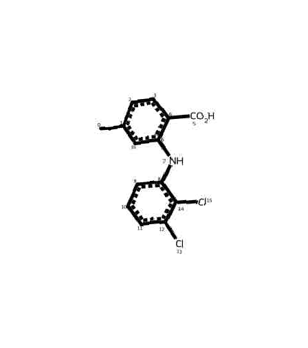 Cc1ccc(C(=O)O)c(Nc2cccc(Cl)c2Cl)c1